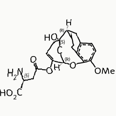 COc1ccc2c3c1O[C@@H]1C[C@@](O)(CC=C1OC(=O)C[C@H](N)C(=O)O)[C@H](CCCC3)C2